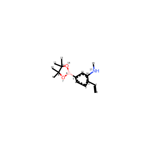 C=Cc1ccc(B2OC(C)(C)C(C)(C)O2)cc1NC